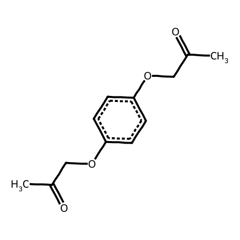 CC(=O)COc1ccc(OCC(C)=O)cc1